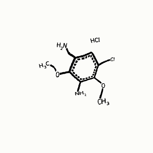 COc1c(N)cc(Cl)c(OC)c1N.Cl